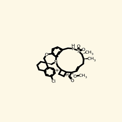 CO[C@@]1(C=O)/C=C/C[C@H](C)[C@@H](C)S(=O)(=O)NCc2ccc3c(c2)N(C[C@@H]2CC[C@H]21)C[C@@]1(CCCc2cc(Cl)ccc21)CO3